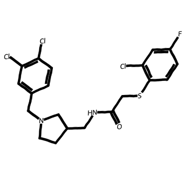 O=C(CSc1ccc(F)cc1Cl)NCC1CCN(Cc2ccc(Cl)c(Cl)c2)C1